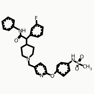 CS(=O)(=O)Nc1ccc(Oc2ccc(CN3CCC(C(C(=O)Nc4ccccc4)c4cccc(F)c4)CC3)cn2)cc1